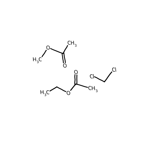 CCOC(C)=O.COC(C)=O.ClCCl